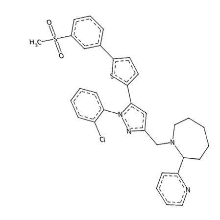 CS(=O)(=O)c1cccc(-c2ccc(-c3cc(CN4CCCCCC4c4ccccn4)nn3-c3ccccc3Cl)s2)c1